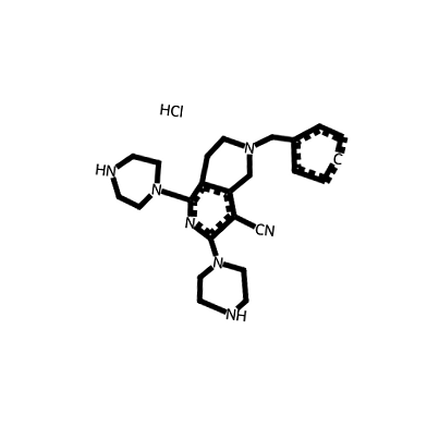 Cl.N#Cc1c(N2CCNCC2)nc(N2CCNCC2)c2c1CN(Cc1ccccc1)CC2